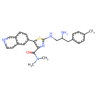 CN(C)C(=O)c1nc(NCC(N)Cc2ccc(C(F)(F)F)cc2)sc1-c1ccc2cnccc2c1